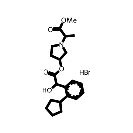 Br.COC(=O)C(C)N1CCC(OC(=O)C(O)c2ccccc2C2CCCC2)C1